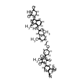 C[C@@H]1C[C@H](CCO[C@H]2CC[C@H](N3C(=S)N(c4cnc(C#N)c(C(F)(F)F)c4)C(=O)C3(C)C)CC2)C[C@H](C)N1CC(=O)Nc1cccc2c(N3CCC(=O)NC3=O)nn(C)c12